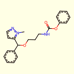 Cn1nccc1C(OCCCNC(=O)Oc1ccccc1)c1ccccc1